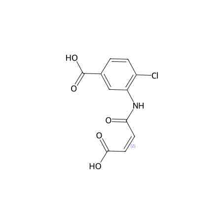 O=C(O)/C=C\C(=O)Nc1cc(C(=O)O)ccc1Cl